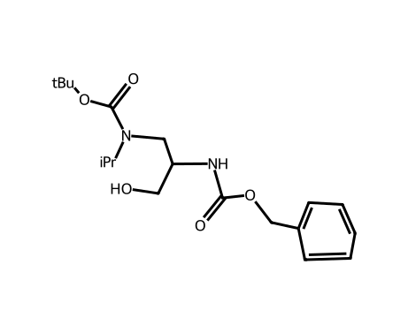 CC(C)N(CC(CO)NC(=O)OCc1ccccc1)C(=O)OC(C)(C)C